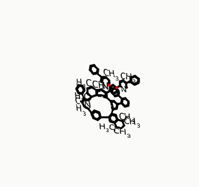 Cc1cc(-c2ccc(-c3ccccc3-c3cc4cc(c3)-c3cc5c(cc3-c3ccc(-c6cc(C)c(-c7ccccc7)cn6)cc3)C(C)(C)CCC5(C)c3nc(cc(C)c3-c3ccccc3)-c3ccc(cc3)-c3cc5c(cc3-4)C(C)(C)CCC5(C)C)cc2)ncc1-c1ccccc1